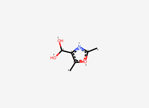 Cc1nc(C(O)O)c(C)o1